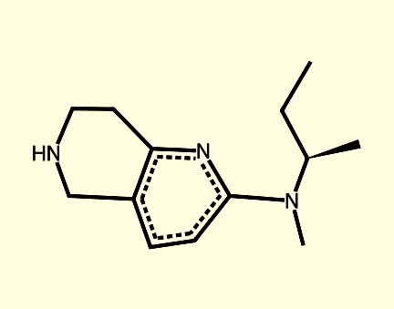 CC[C@@H](C)N(C)c1ccc2c(n1)CCNC2